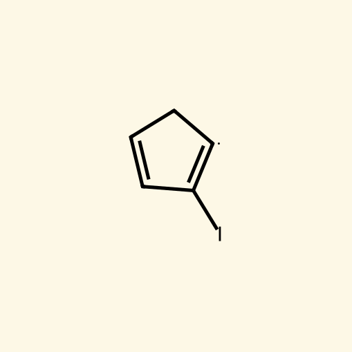 IC1=[C]CC=C1